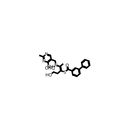 CC(=C(CCO)SC(=O)c1cccc(-c2ccccc2)c1)N(C=O)Cc1cnc(C)nc1N